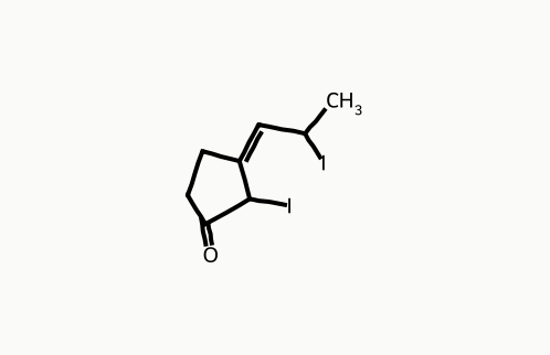 CC(I)/C=C1/CCC(=O)C1I